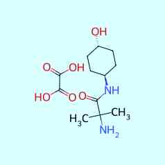 CC(C)(N)C(=O)N[C@H]1CC[C@H](O)CC1.O=C(O)C(=O)O